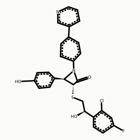 O=C1[C@H](SC[C@H](O)c2ccc(F)cc2Cl)[C@@H](c2ccc(O)cc2)N1c1ccc(-c2cccnc2)cc1